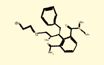 CCCN(CCC)C(=O)c1cccc(C(N)=O)c1[C@H](Cc1ccccc1)[C@@H](O)CNCCC(C)(C)C